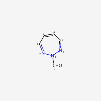 O=CN1N=CC=CC=N1